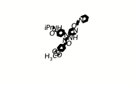 CC(C)NC(=O)[C@H]1CC[C@@H](n2/c(=N/C(=O)c3ccc(S(C)(=O)=O)cc3)[nH]c3cnc(OCCN4CCCCC4)cc32)CC1